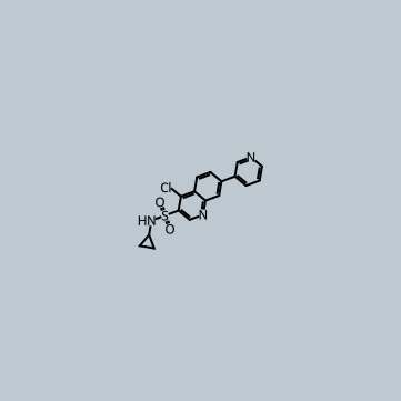 O=S(=O)(NC1CC1)c1cnc2cc(-c3cccnc3)ccc2c1Cl